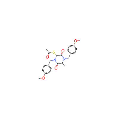 COc1ccc(CN2C(=O)C(SC(C)=O)N(Cc3ccc(OC)cc3)C(=O)C2C)cc1